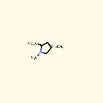 C[C@H]1CC(C(=O)O)N(C)C1